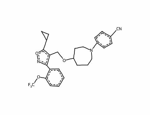 N#Cc1ccc(N2CCCC(OCc3c(-c4ccccc4OC(F)(F)F)noc3C3CC3)CC2)cc1